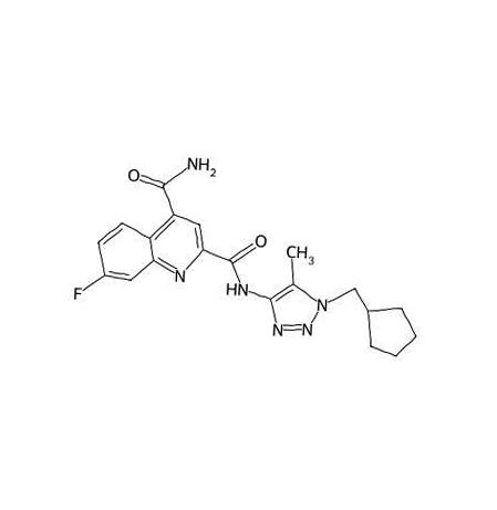 Cc1c(NC(=O)c2cc(C(N)=O)c3ccc(F)cc3n2)nnn1CC1CCCC1